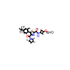 Cc1cc(C(C)(C(F)(F)F)C(F)(F)F)ccc1-c1sc(C(=O)N[C@H]2C[C@H](OC=O)C2)nc1C(=O)N1CCC[C@@H]1C